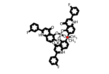 COc1ccc2[nH]c(-c3cccc(F)c3)cc(=O)c2c1OP(=O)(Oc1c(OC)ccc2[nH]c(-c3cccc(F)c3)cc(=O)c12)Oc1c(OC)ccc2[nH]c(-c3cccc(F)c3)cc(=O)c12